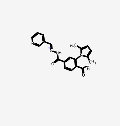 Cc1ccc(C)n1-c1cc(C(=O)N/N=C/c2cccnc2)ccc1C(=O)O